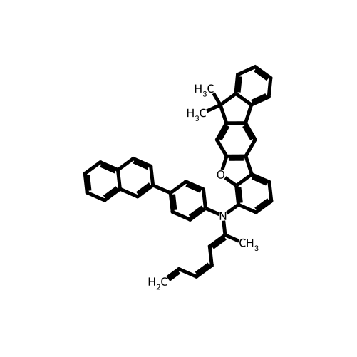 C=C/C=C\C=C(/C)N(c1ccc(-c2ccc3ccccc3c2)cc1)c1cccc2c1oc1cc3c(cc12)-c1ccccc1C3(C)C